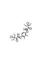 CCC(Cl)(CC)C(=O)NOc1ccc(ONC(=O)C(Cl)(CC)CC)c(C)c1C